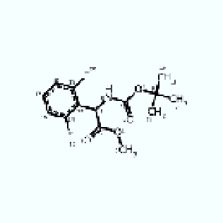 COC(=O)C(NC(=O)OC(C)(C)C)c1c(F)cccc1F